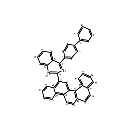 c1ccc(-c2ccc(-c3nc(-c4cc5c(ccc6ccc7ccccc7c65)c5ccccc45)nc4ccccc34)cc2)cc1